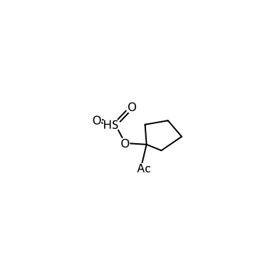 CC(=O)C1(O[SH](=O)=O)CCCC1